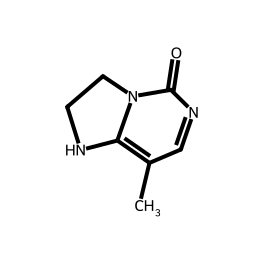 Cc1cnc(=O)n2c1NCC2